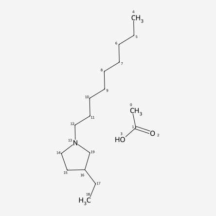 CC(=O)O.CCCCCCCCCN1CCC(CC)C1